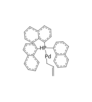 C=C[CH2][Pd][PH](c1cccc2ccccc12)(c1cccc2ccccc12)c1cccc2ccccc12